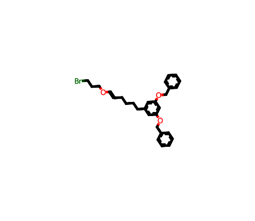 BrCCCOC=CCCCCc1cc(OCc2ccccc2)cc(OCc2ccccc2)c1